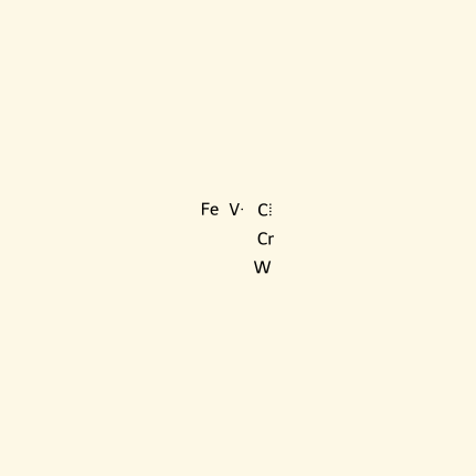 [C].[Cr].[Fe].[V].[W]